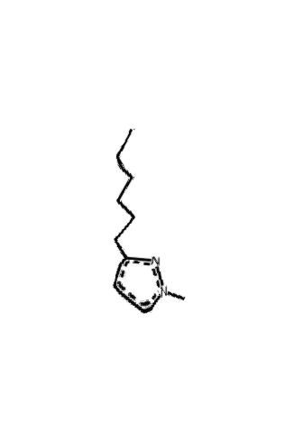 [CH2]CCCCCc1ccn(C)n1